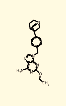 CCOc1nc(N)c2ncn(Cc3ccc(C4=CN5CCC4CC5)cc3)c2n1